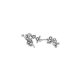 Nc1ncnc2c1ncn2Cc1cc(-c2cc(F)c(OCCCCCNc3cccc4c3C(=O)N(C3CCC(=O)NC3=O)C4=O)c(F)c2)ncc1N1CCC[C@](N)(c2ccccn2)C1